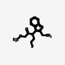 CCc1nn2ccccc2c1N(CCF)C(=O)COC